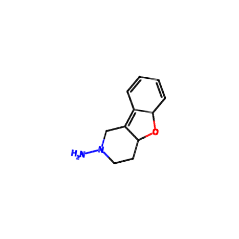 NN1CCC2OC3C=CC=CC3=C2C1